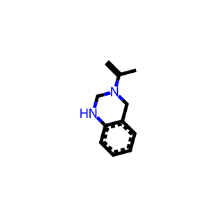 C=C(C)N1CNc2ccccc2C1